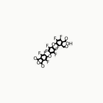 O=Cc1c(F)c(Oc2c(F)c(F)c(Oc3c(F)c(F)c4c(c3F)C(=O)OC4=O)c(F)c2F)c(F)c(F)c1C(=O)O